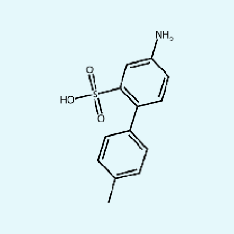 Cc1ccc(-c2ccc(N)cc2S(=O)(=O)O)cc1